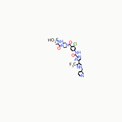 CC(NC(=O)O)C(=O)N1CCN(C(=O)c2ccc(NC(=O)c3ncc(-c4cn(Cc5cccnc5)nc4C(F)(F)F)n3C)cc2Cl)CC1